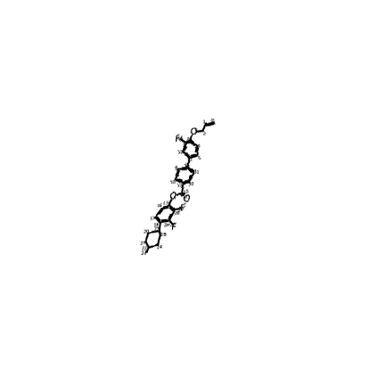 C=CCOc1ccc(-c2ccc(C(=O)Oc3ccc(C4CCC(C)CC4)c(F)c3F)cc2)cc1F